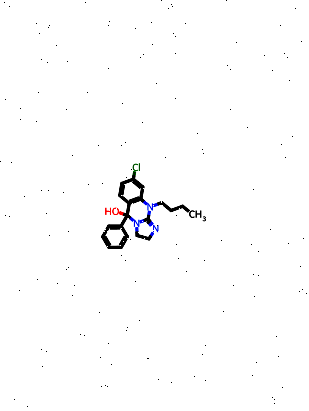 CCCCN1C2=NCCN2C(O)(c2ccccc2)c2ccc(Cl)cc21